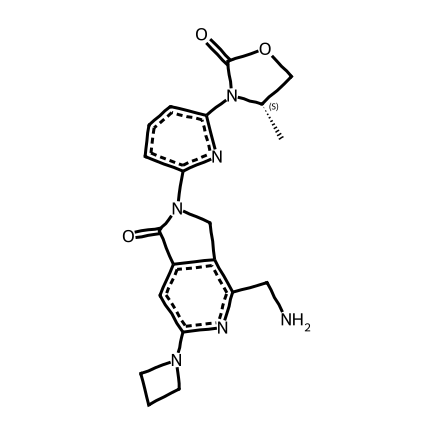 C[C@H]1COC(=O)N1c1cccc(N2Cc3c(cc(N4CCC4)nc3CN)C2=O)n1